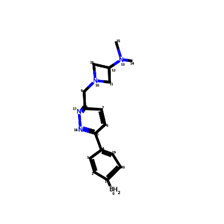 Bc1ccc(-c2ccc(CN3CC(N(C)C)C3)nn2)cc1